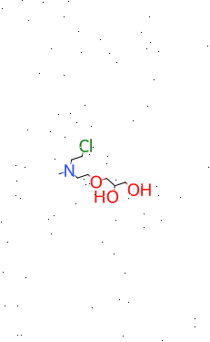 CN(CCCl)CCOCC(O)CO